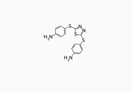 Nc1ccc(Sc2nnc(Sc3ccc(N)cc3)s2)cc1